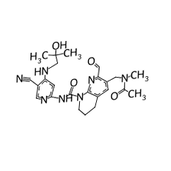 CC(=O)N(C)Cc1cc2c(nc1C=O)N(C(=O)Nc1cc(NCC(C)(C)O)c(C#N)cn1)CCC2